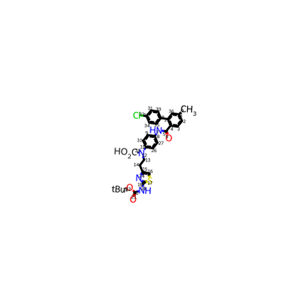 Cc1ccc(C(=O)Nc2ccc(N(CCc3csc(NC(=O)OC(C)(C)C)n3)C(=O)O)cc2)c(-c2ccc(Cl)cc2)c1